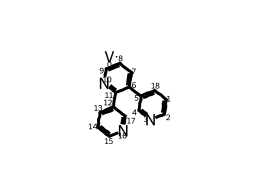 [V].c1cncc(-c2cccnc2-c2cccnc2)c1